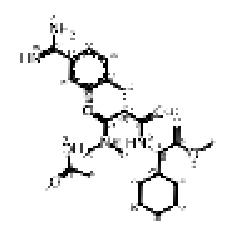 CC(=O)O.COC(=O)[C@@H](NC(=O)[C@@H](Cc1ccc(C(=N)N)cc1)C(=O)N(C)C)C1CCCCC1